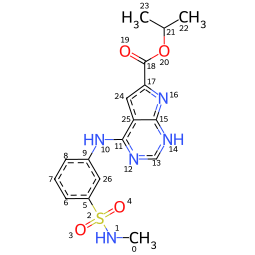 CNS(=O)(=O)c1cccc(Nc2nc[nH]c3nc(C(=O)OC(C)C)cc2-3)c1